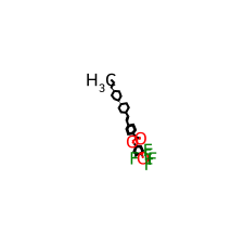 CCC[C@H]1CC[C@H](C2CCC(/C=C/c3ccc(C(=O)Oc4cc(F)c(OC(F)(F)F)c(F)c4)cc3)CC2)CC1